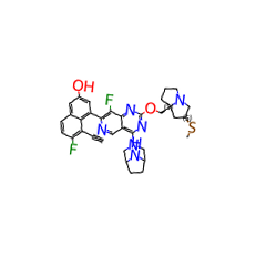 C#Cc1c(F)ccc2cc(O)cc(-c3ncc4c(N5CC6CCC(C5)N6)nc(OC[C@@]56CCCN5C[C@@H](SC)C6)nc4c3F)c12